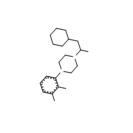 CC(CC1CCCCC1)N1CCN(c2cccc(Cl)c2Cl)CC1